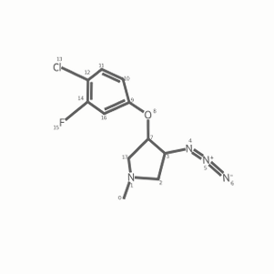 CN1CC(N=[N+]=[N-])C(Oc2ccc(Cl)c(F)c2)C1